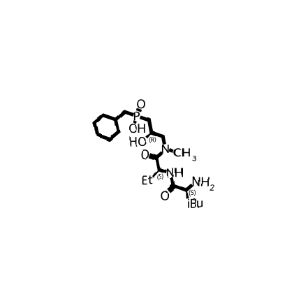 CCC(C)[C@H](N)C(=O)N[C@@H](CC)C(=O)N(C)C[C@@H](O)CP(=O)(O)CC1CCCCC1